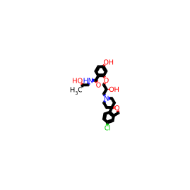 CC(O)CNC(=O)c1ccc(O)cc1OC[C@H](O)CN1CCC2(CC1)OCc1cc(Cl)ccc12